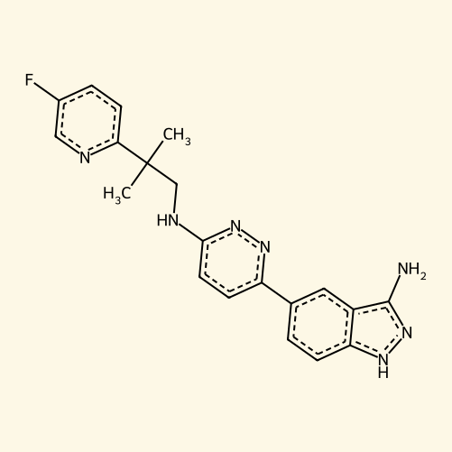 CC(C)(CNc1ccc(-c2ccc3[nH]nc(N)c3c2)nn1)c1ccc(F)cn1